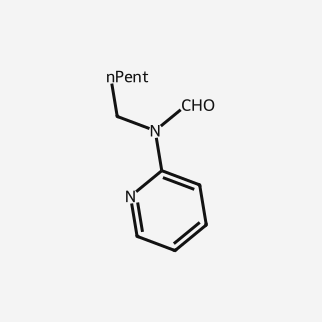 CCCCCCN(C=O)c1ccccn1